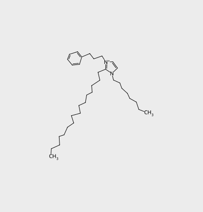 CCCCCCCCCCCCCCCCc1n(CCCCCCCC)cc[n+]1CCCc1ccccc1